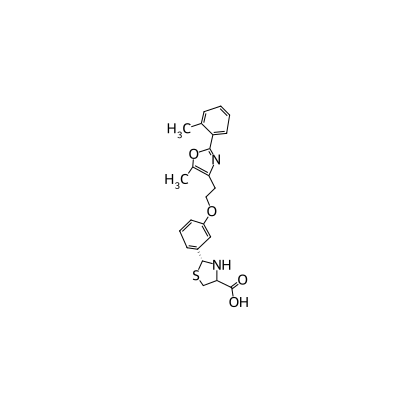 Cc1ccccc1-c1nc(CCOc2cccc([C@@H]3NC(C(=O)O)CS3)c2)c(C)o1